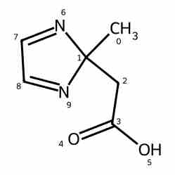 CC1(CC(=O)O)N=CC=N1